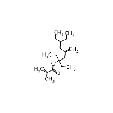 C=C(CC(CC)CC)CC(CC)(CC)OC(=O)C(=C)C